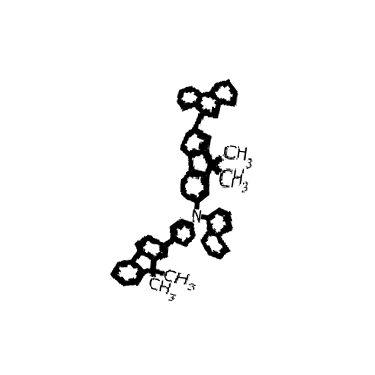 CC1(C)c2ccccc2-c2ccc(-c3ccc(N(c4ccc5c(c4)C(C)(C)c4cc(-c6cc7ccccc7c7ccccc67)ccc4-5)c4cccc5ccccc45)cc3)cc21